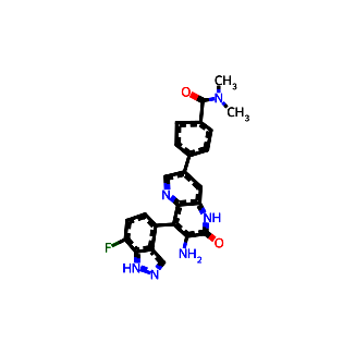 CN(C)C(=O)c1ccc(-c2cnc3c(-c4ccc(F)c5[nH]ncc45)c(N)c(=O)[nH]c3c2)cc1